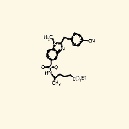 CCOC(=O)CCCC(C)NS(=O)(=O)c1ccc2c(c1)nc(Cc1ccc(C#N)cc1)n2C